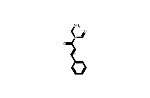 NCN([C]=O)C(=O)/C=C/c1ccccc1